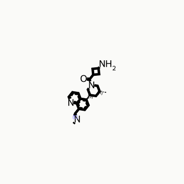 C/N=C/c1ccc([C@@H]2C[C@@H](C)CN(C(=O)C3CC(N)C3)C2)c2cccnc12